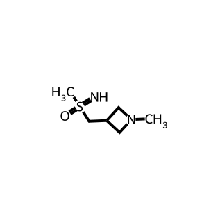 CN1CC(CS(C)(=N)=O)C1